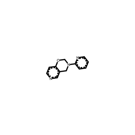 c1ccc(N2COc3ccncc3C2)nc1